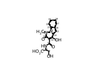 Cn1c(=O)c(C(=O)N[C@@H](CO)C(=O)O)c(O)c2cc3ccccc3n21